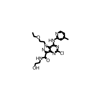 CCOCCn1nc(C(=O)NCCO)c2nc(Cl)nc(Nc3cc(C)ccn3)c21